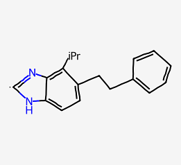 CC(C)c1c(CCc2ccccc2)ccc2[nH][c]nc12